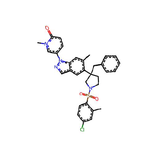 Cc1cc2c(cnn2-c2ccc(=O)n(C)c2)cc1C1(Cc2ccccc2)CCN(S(=O)(=O)c2ccc(Cl)cc2C)C1